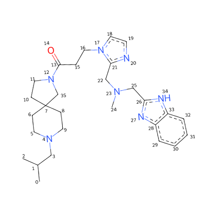 CC(C)CN1CCC2(CC1)CCN(C(=O)CCn1ccnc1CN(C)Cc1nc3ccccc3[nH]1)C2